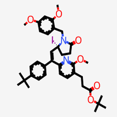 COc1ccc(CN2C(=O)CC[C@@]2(I)C=C(c2ccc(C(C)(C)C)cc2)c2ccc(CCC(=O)OC(C)(C)C)c(OC)n2)c(OC)c1